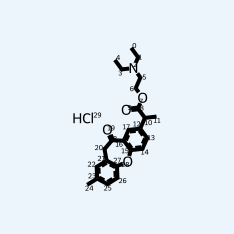 CCN(CC)CCOC(=O)C(C)c1ccc2c(c1)C(=O)Cc1cc(C)ccc1O2.Cl